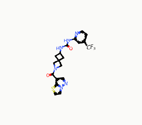 O=C(Nc1cc(C(F)(F)F)ccn1)NC1CC2(C1)CN(C(=O)c1cnn3ccsc13)C2